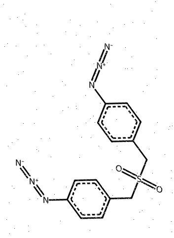 [N-]=[N+]=Nc1ccc(CS(=O)(=O)Cc2ccc(N=[N+]=[N-])cc2)cc1